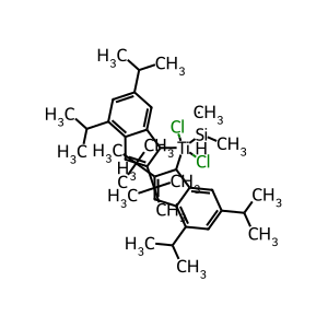 CC(C)c1cc(C(C)C)c2c(c1)[CH]([Ti]([Cl])([Cl])([CH]1C(C(C)(C)C)=Cc3c(C(C)C)cc(C(C)C)cc31)[SiH](C)C)C(C(C)(C)C)=C2